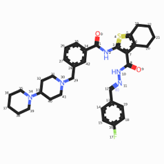 O=C(Nc1sc2c(c1C(=O)N/N=C/c1ccc(F)cc1)CCCC2)c1cccc(CN2CCC(N3CCCCC3)CC2)c1